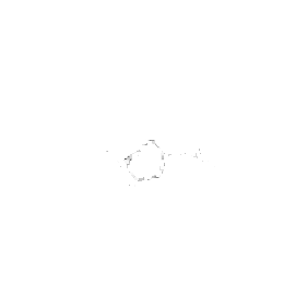 Cl[SiH2]c1ccc(Cl)cc1